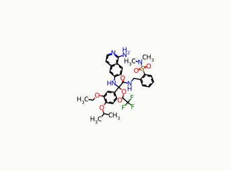 CCOc1cc(C(Nc2ccc3c(N)nccc3c2)(OC(=O)C(F)(F)F)C(=O)NCc2ccccc2S(=O)(=O)N(C)C)ccc1OC(C)C